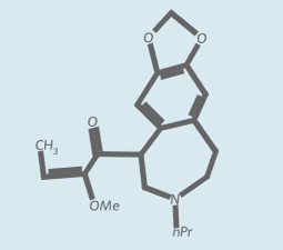 C/C=C(/OC)C(=O)C1CN(CCC)CCc2cc3c(cc21)OCO3